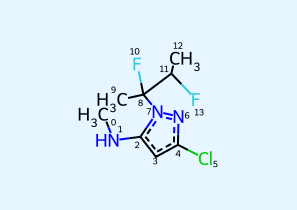 CNc1cc(Cl)nn1C(C)(F)C(C)F